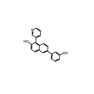 Oc1cccc(-c2ccc3c(-c4cccnc4)c(O)ccc3c2)c1